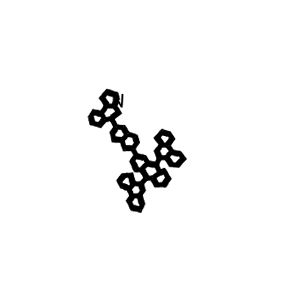 c1ccc2c(c1)cc(-c1c3ccccc3c(-c3cc4ccccc4c4ccccc34)c3cc(-c4ccc5cc(-c6cc7ncccc7c7ccccc67)ccc5c4)ccc13)c1ccccc12